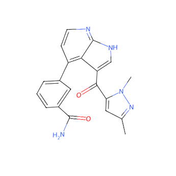 Cc1cc(C(=O)c2c[nH]c3nccc(-c4cccc(C(N)=O)c4)c23)n(C)n1